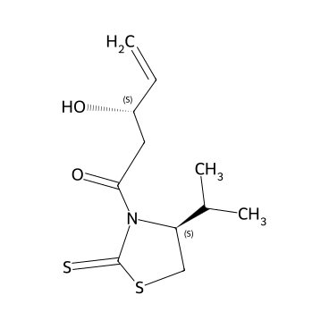 C=C[C@@H](O)CC(=O)N1C(=S)SC[C@@H]1C(C)C